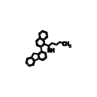 CCCCC(=N)c1c(-c2cccc3c2Cc2ccccc2-3)ccc2ccccc12